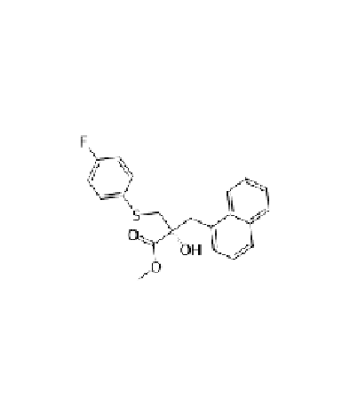 COC(=O)[C@@](O)(CSc1ccc(F)cc1)Cc1cccc2ccccc12